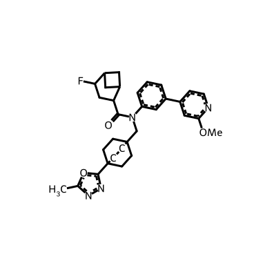 COc1cc(-c2cccc(N(CC34CCC(c5nnc(C)o5)(CC3)CC4)C(=O)C3CC(F)C4CC3C4)c2)ccn1